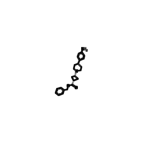 Nc1ccc(C2CCN([C@H]3C[C@@H](C(=O)OCc4ccccc4)C3)CC2)cc1